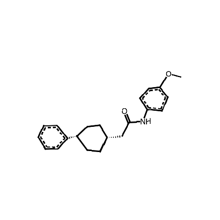 COc1ccc(NC(=O)C[C@H]2CC[C@@H](c3ccccc3)CC2)cc1